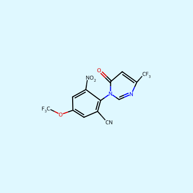 N#Cc1cc(OC(F)(F)F)cc([N+](=O)[O-])c1-n1cnc(C(F)(F)F)cc1=O